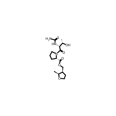 C[C@H](O)[C@@H](NC(N)=S)C(=O)N1CCC[C@H]1C(=O)OC[C@H]1CCO[C@H]1C